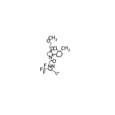 COCCO[C@@H]1CCN(C(=O)Cn2nc(C3CC3)cc2C(F)(F)F)[C@@H]1c1cccc(C)c1Cl